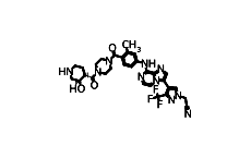 Cc1cc(Nc2nccn3c(-c4cn(CC#N)nc4C(F)(F)F)cnc23)ccc1C(=O)N1CCN(C(=O)[C@H]2CCNC[C@@H]2O)CC1